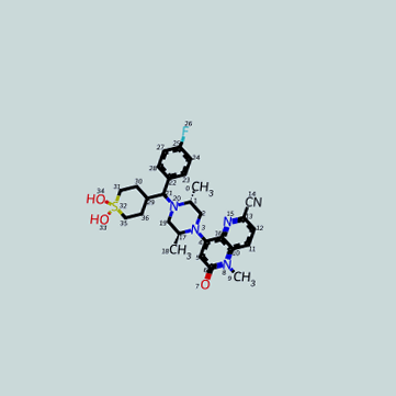 C[C@@H]1CN(c2cc(=O)n(C)c3ccc(C#N)nc23)[C@@H](C)CN1C(c1ccc(F)cc1)C1CCS(O)(O)CC1